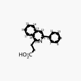 O=C(O)CCc1nc(-c2ccccc2)cc2ccccc12